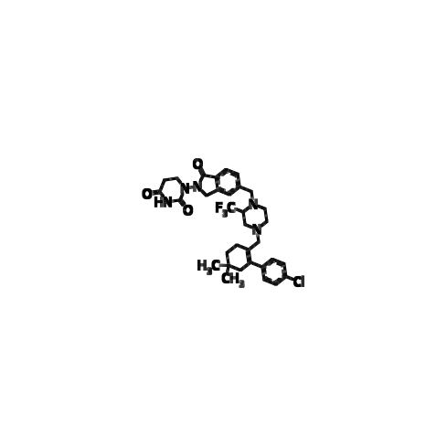 CC1(C)CCC(CN2CCN(Cc3ccc4c(c3)CN(N3CCC(=O)NC3=O)C4=O)C(C(F)(F)F)C2)=C(c2ccc(Cl)cc2)C1